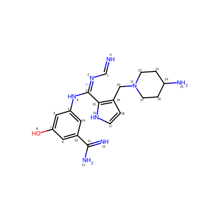 N=C/N=C(/Nc1cc(O)cc(C(=N)N)c1)c1[nH]ccc1CN1CCC(N)CC1